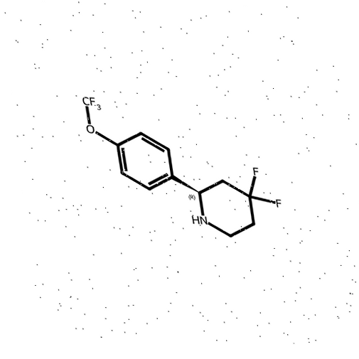 FC1(F)CCN[C@@H](c2ccc(OC(F)(F)F)cc2)C1